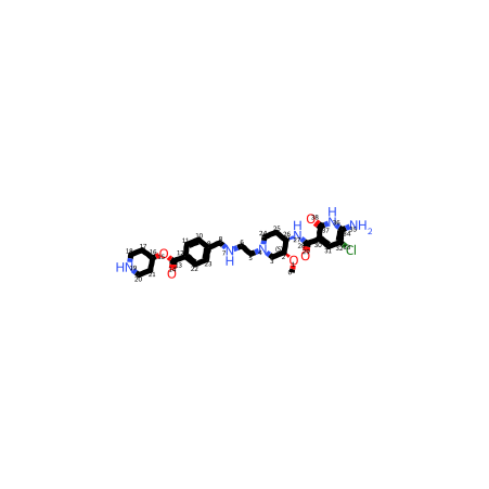 CO[C@H]1CN(CCNCc2ccc(C(=O)OC3CCNCC3)cc2)CC[C@H]1NC(=O)c1cc(Cl)c(N)[nH]c1=O